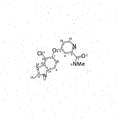 CNC(=O)c1cc(Oc2ccc3nc(C)sc3c2Cl)ccn1